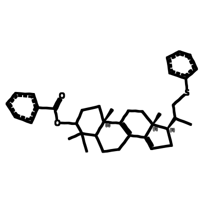 CC(CSc1ccccc1)[C@H]1CC=C2C3=C(CC[C@@]21C)[C@@]1(C)CCC(OC(=O)c2ccccc2)C(C)(C)C1CC3